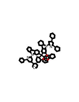 c1ccc(-c2cc(-c3ccccc3)nc(-n3c4ccccc4c4ccc(C5(c6cc7c8ccccc8n(-c8cc(-c9ccccc9)cc(-c9ccccc9)n8)c7cc6C6c7ccccc7-c7ccccc76)c6ccccc6-c6ccccc65)cc43)c2)cc1